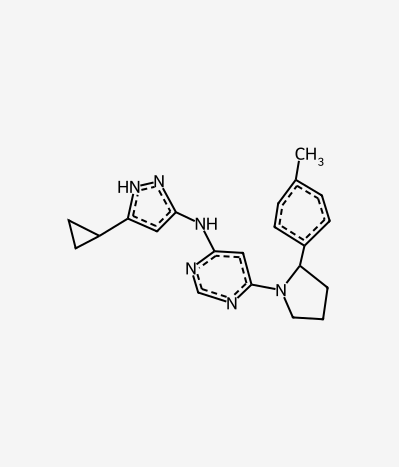 Cc1ccc(C2CCCN2c2cc(Nc3cc(C4CC4)[nH]n3)ncn2)cc1